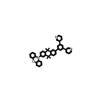 CC1(C)c2ccc(N3c4ccccc4Oc4ccccc43)cc2C(C)(C)c2ccc(-c3cc(-c4cccnc4)cc(-c4cccnc4)c3)cc21